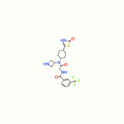 O=C(NCC(=O)N(C1CCC(c2c[nH]c(=O)s2)CC1)C1CNC1)c1cccc(C(F)(F)F)c1